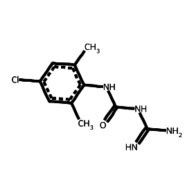 Cc1cc(Cl)cc(C)c1NC(=O)NC(=N)N